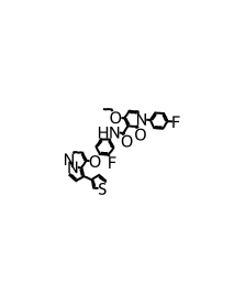 CCOc1ccn(-c2ccc(F)cc2)c(=O)c1C(=O)Nc1ccc(Oc2ccnn3ccc(-c4ccsc4)c23)c(F)c1